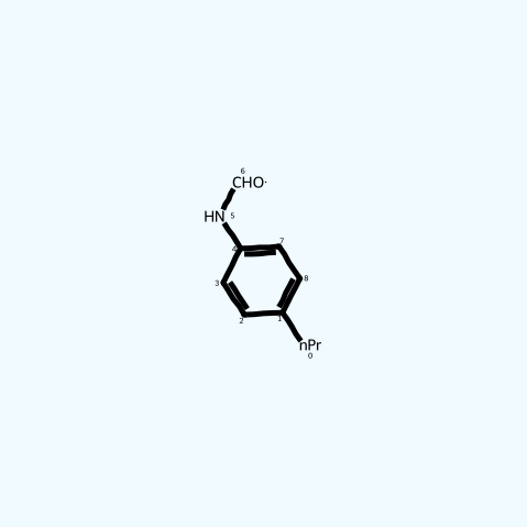 CCCc1ccc(N[C]=O)cc1